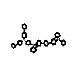 c1ccc(-c2ccc(N(c3ccc(-c4ccccc4)cc3)c3ccc(-n4c5ccccc5c5cc(-c6ccc(-c7ccc8c(c7)c7ccccc7n8-c7ccccc7)cc6)ccc54)cc3)cc2)cc1